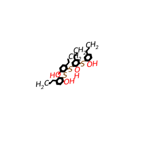 C=CCc1ccc(O)c(Sc2cc(CC=C)cc(Sc3c(CC=C)ccc(O)c3Sc3cc(CC=C)ccc3O)c2O)c1